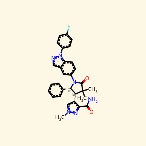 Cn1cc([C@@H]2[C@H](c3ccccc3)N(c3ccc4c(cnn4-c4ccc(F)cc4)c3)C(=O)C2(C)C)c(C(N)=O)n1